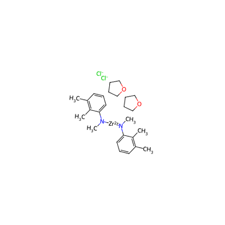 C1CCOC1.C1CCOC1.Cc1cccc([N](C)[Zr+2][N](C)c2cccc(C)c2C)c1C.[Cl-].[Cl-]